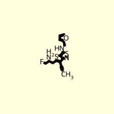 CC#Cc1c(C[C@@H](N)CF)sc2c(NCc3ccco3)snc12